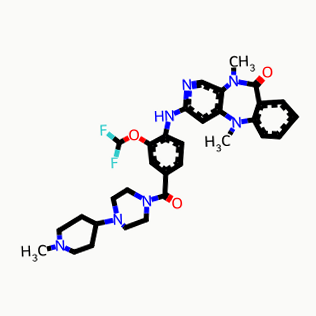 CN1CCC(N2CCN(C(=O)c3ccc(Nc4cc5c(cn4)N(C)C(=O)c4ccccc4N5C)c(OC(F)F)c3)CC2)CC1